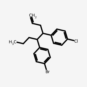 C=CCC(c1ccc(Cl)cc1)C(CCC)c1ccc(Br)cc1